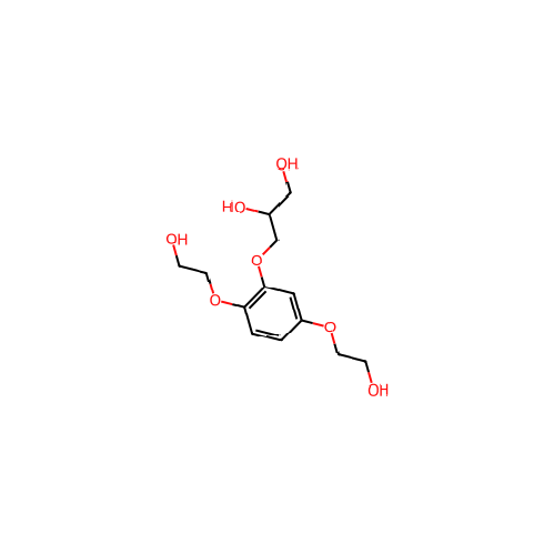 OCCOc1ccc(OCCO)c(OCC(O)CO)c1